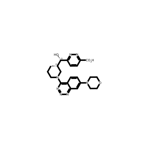 O=C(O)c1ccc([C@@H](O)[C@H]2CCCN(c3nnnc4cc(N5CCOCC5)ccc34)C2)nn1